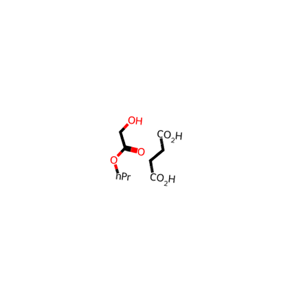 CCCOC(=O)CO.O=C(O)CCC(=O)O